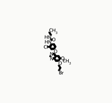 CCCNC(=O)Nc1ccc(Oc2ncnc3cc(OCCCBr)c(OC)cc23)cc1Cl